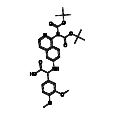 COc1ccc(C(Nc2ccc3c(N(C(=O)OC(C)(C)C)C(=O)OC(C)(C)C)nccc3c2)C(=O)O)cc1OC